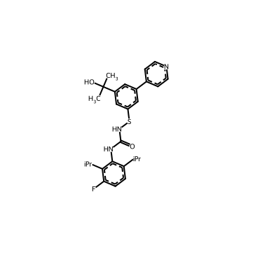 CC(C)c1ccc(F)c(C(C)C)c1NC(=O)NSc1cc(-c2ccncc2)cc(C(C)(C)O)c1